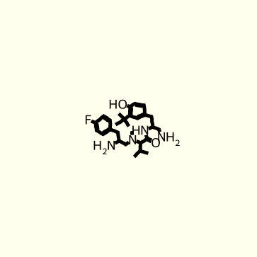 CC(C)C(C(=O)NC(CN)Cc1ccc(O)c(C(C)(C)C)c1)N(C)CC(N)Cc1ccc(F)cc1